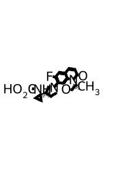 C[C@H]1COc2c(N3CC[C@@H](C4(NC(=O)O)CC4)C3)c(F)cc3ccc(=O)n1c23